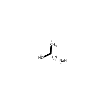 CCO.N.[NaH]